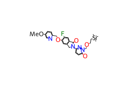 COc1ccc(COc2cc3c(cc2F)C(=O)N(c2ccc(=O)n(COCC[Si](C)(C)C)n2)C3)nc1